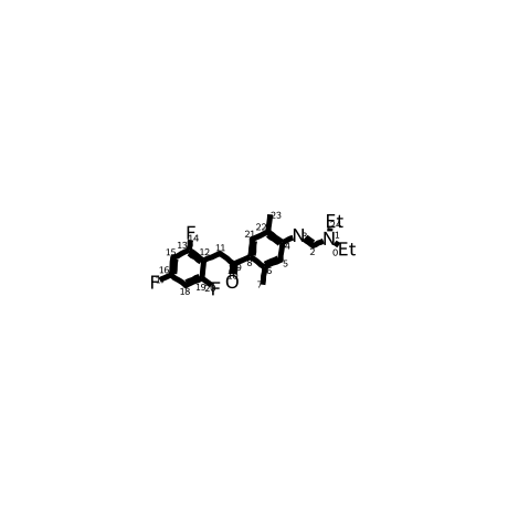 CCN(/C=N/c1cc(C)c(C(=O)Cc2c(F)cc(F)cc2F)cc1C)CC